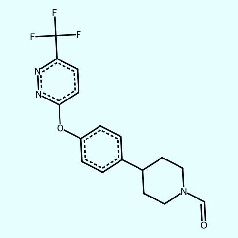 O=CN1CCC(c2ccc(Oc3ccc(C(F)(F)F)nn3)cc2)CC1